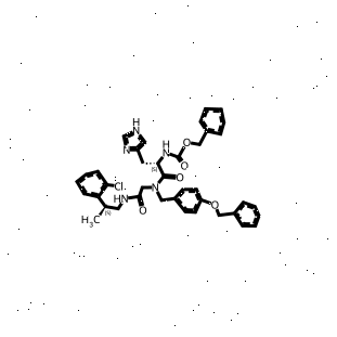 C[C@H](CNC(=O)CN(Cc1ccc(OCc2ccccc2)cc1)C(=O)[C@H](Cc1c[nH]cn1)NC(=O)OCc1ccccc1)c1ccccc1Cl